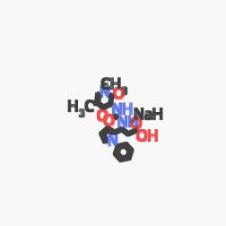 CC1=CN(C)C(=O)C(NC(=O)NC(CC(=O)O)c2cccn2-c2ccccc2)C1=O.[NaH]